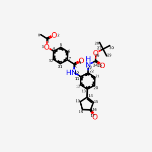 CC(=O)Oc1ccc(C(=O)Nc2cc(C3=CC(=O)CC3)ccc2NC(=O)OC(C)(C)C)cc1